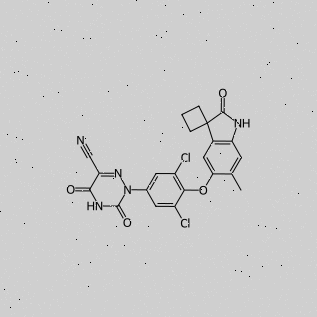 Cc1cc2c(cc1Oc1c(Cl)cc(-n3nc(C#N)c(=O)[nH]c3=O)cc1Cl)C1(CCC1)C(=O)N2